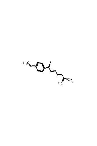 C=C(C)CCCCC(=S)c1ccc(CC)cc1